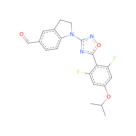 CC(C)Oc1cc(F)c(-c2nc(N3CCc4cc(C=O)ccc43)no2)c(F)c1